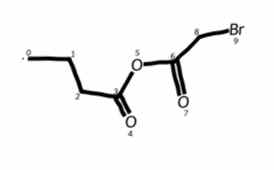 [CH2]CCC(=O)OC(=O)CBr